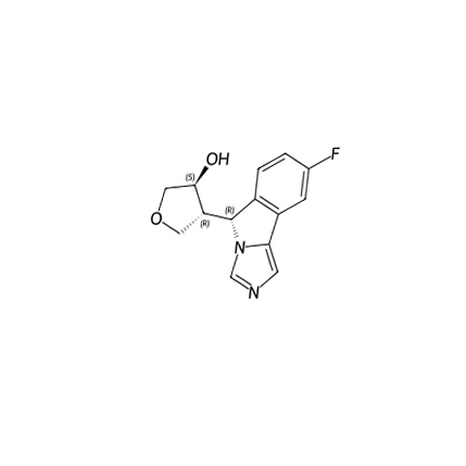 O[C@@H]1COC[C@H]1[C@@H]1c2ccc(F)cc2-c2cncn21